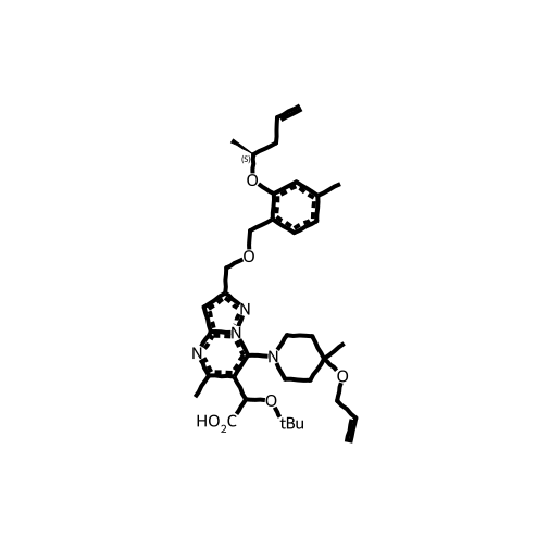 C=CCOC1(C)CCN(c2c(C(OC(C)(C)C)C(=O)O)c(C)nc3cc(COCc4ccc(C)cc4O[C@@H](C)CC=C)nn23)CC1